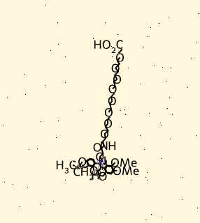 C=C(C)[C@H]1Cc2c(ccc3c2O[C@@H]2COc4cc(OC)c(OC)cc4[C@@H]2/C3=N/OCC(=O)NCCOCCOCCOCCOCCOCCOCCOCCOCCC(=O)O)O1